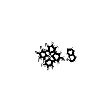 CCCC[n+]1cccc2ccccc21.Fc1c(F)c(F)c([B-](c2c(F)c(F)c(F)c(F)c2F)(c2c(F)c(F)c(F)c(F)c2F)c2c(F)c(F)c(F)c(F)c2F)c(F)c1F